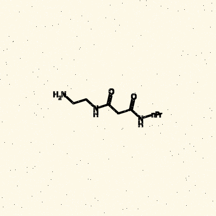 CCCNC(=O)CC(=O)NCCN